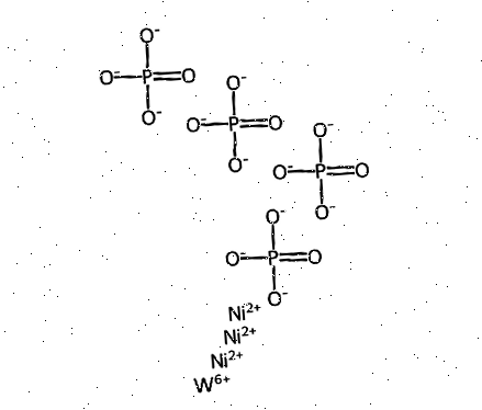 O=P([O-])([O-])[O-].O=P([O-])([O-])[O-].O=P([O-])([O-])[O-].O=P([O-])([O-])[O-].[Ni+2].[Ni+2].[Ni+2].[W+6]